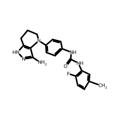 Cc1ccc(F)c(NC(=O)Nc2ccc(N3CCCc4[nH]nc(N)c43)cc2)c1